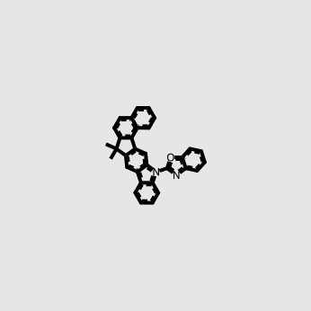 CC1(C)c2cc3c4ccccc4n(-c4nc5ccccc5o4)c3cc2-c2c1ccc1ccccc21